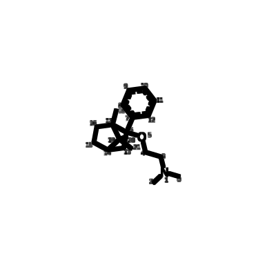 CN(C)CCOC1(c2ccccc2)CC2CCC1(C)C2(C)C